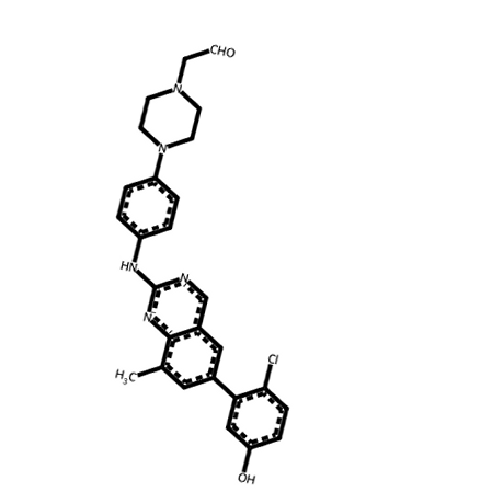 Cc1cc(-c2cc(O)ccc2Cl)cc2cnc(Nc3ccc(N4CCN(CC=O)CC4)cc3)nc12